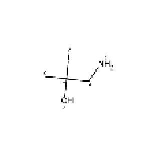 CC(O)(I)CN